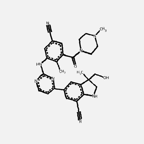 Cc1c(Nc2nccc(-c3cc(C#N)c4c(c3)C(C)(CO)CN4)n2)cc(C#N)cc1C(=O)N1CCN(C)CC1